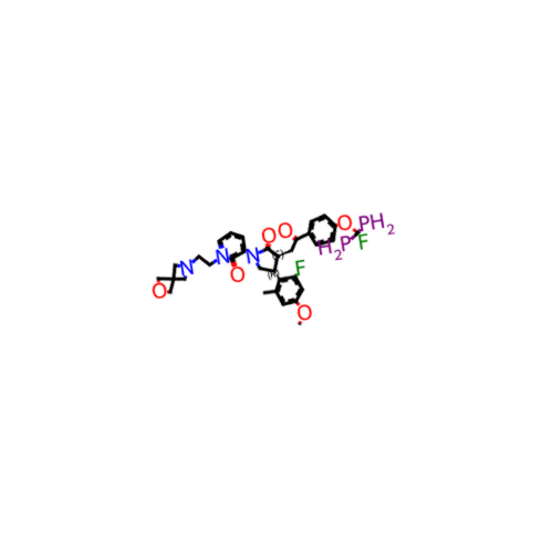 COc1cc(C)c([C@@H]2CN(c3cccn(CCN4CC5(COC5)C4)c3=O)C(=O)[C@H]2CC(=O)c2ccc(OC(F)(P)P)cc2)c(F)c1